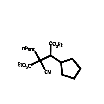 CCCCCC(C#N)(C(=O)OCC)C(C(=O)OCC)C1CCCC1